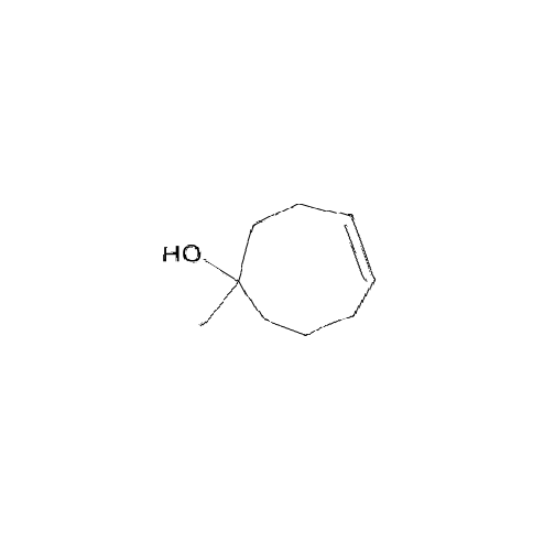 CC1(O)CCC=CCCC1